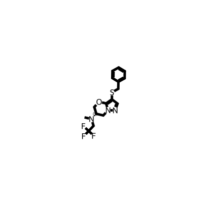 CN(CC(F)(F)F)[C@@H]1COc2c(SCc3ccccc3)cnn2C1